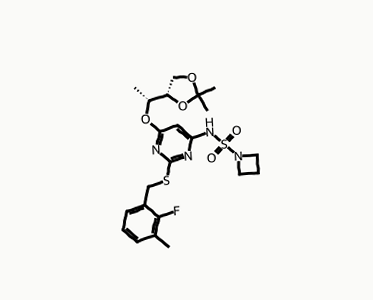 Cc1cccc(CSc2nc(NS(=O)(=O)N3CCC3)cc(O[C@H](C)[C@@H]3COC(C)(C)O3)n2)c1F